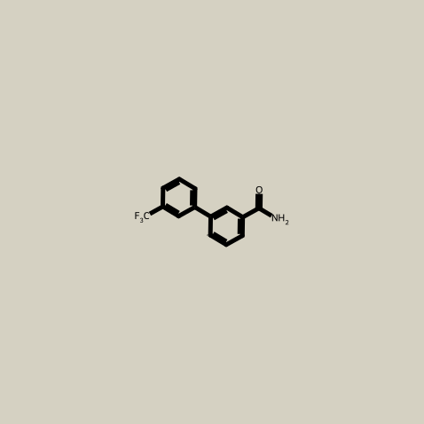 NC(=O)c1cc[c]c(-c2cccc(C(F)(F)F)c2)c1